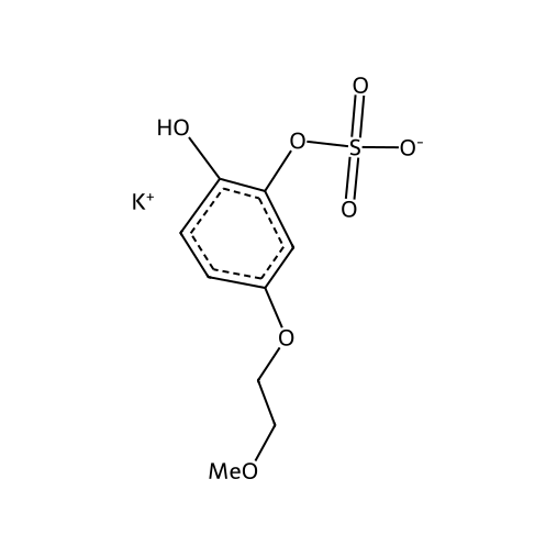 COCCOc1ccc(O)c(OS(=O)(=O)[O-])c1.[K+]